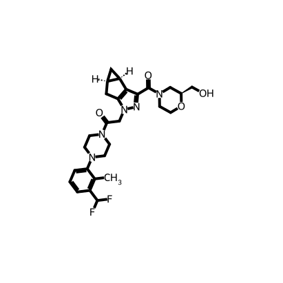 Cc1c(C(F)F)cccc1N1CCN(C(=O)Cn2nc(C(=O)N3CCO[C@H](CO)C3)c3c2C[C@H]2C[C@@H]32)CC1